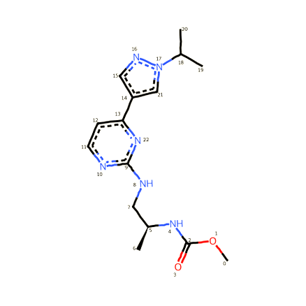 COC(=O)N[C@@H](C)CNc1nccc(-c2cnn(C(C)C)c2)n1